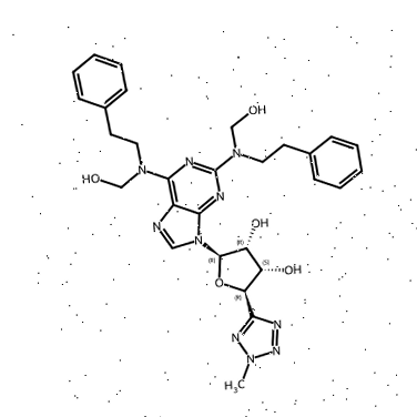 Cn1nnc([C@H]2O[C@@H](n3cnc4c(N(CO)CCc5ccccc5)nc(N(CO)CCc5ccccc5)nc43)[C@H](O)[C@@H]2O)n1